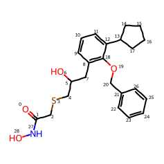 O=C(CSCC(O)Cc1cccc(C2CCCC2)c1OCc1ccccc1)NO